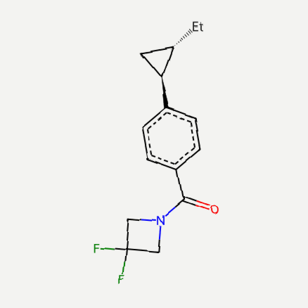 CC[C@H]1C[C@@H]1c1ccc(C(=O)N2CC(F)(F)C2)cc1